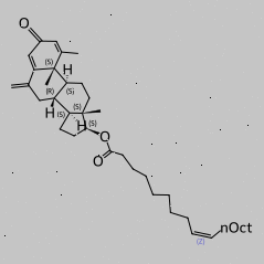 C=C1C[C@@H]2[C@H](CC[C@]3(C)[C@@H](OC(=O)CCCCCCC/C=C\CCCCCCCC)CC[C@@H]23)[C@@]2(C)C(C)=CC(=O)C=C12